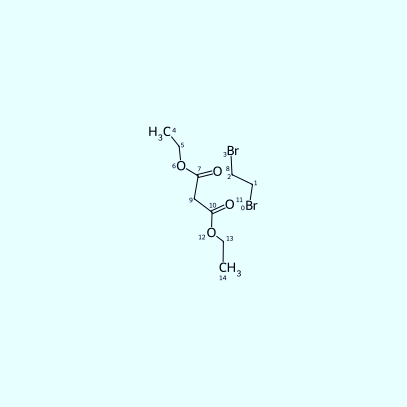 BrCCBr.CCOC(=O)CC(=O)OCC